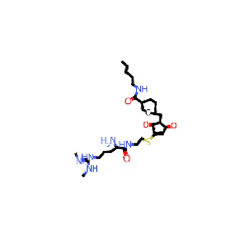 CCCCCNC(=O)C1CCC(CC2C(=O)C=C(SCCNC(=O)C(N)CCCN/C(=N\C)NC)C2=O)CC1